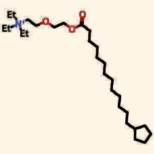 CC[N+](CC)(CC)CCOCCOC(=O)CCCCCCCCCCCCC1CCCC1